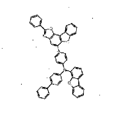 c1ccc(-c2ccc(N(c3ccc(-c4cc5nc(-c6ccccc6)oc5c5c4oc4ccccc45)cc3)c3cccc4c3oc3ccccc34)cc2)cc1